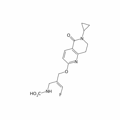 O=C(O)NCC(=CF)COc1ccc2c(n1)CCN(C1CC1)C2=O